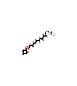 [CH2]CCCCCCCCCCCOC1C[CH]CC1